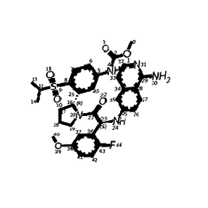 COC(=O)Nc1ccc(S(=O)(=O)C(C)C)c([C@H]2CCCN2C(=O)[C@@H](Nc2ccc3c(N)nccc3c2)c2cc(OC)ccc2F)c1